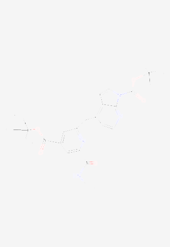 CNC(=O)c1cc(C(=O)OC(C)(C)C)cc(Cc2ccnc3c2ccn3C(=O)OC(C)(C)C)n1